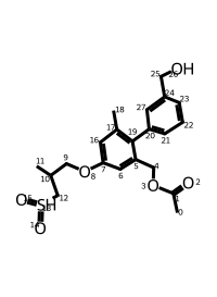 CC(=O)OCc1cc(OCC(C)C[SH](=O)=O)cc(C)c1-c1cccc(CO)c1